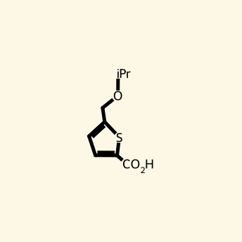 CC(C)OCc1ccc(C(=O)O)s1